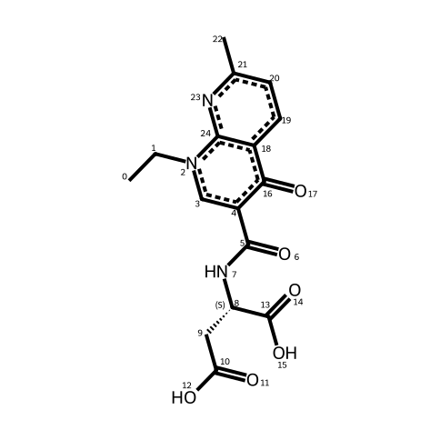 CCn1cc(C(=O)N[C@@H](CC(=O)O)C(=O)O)c(=O)c2ccc(C)nc21